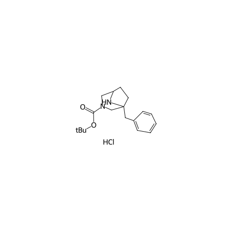 CC(C)(C)OC(=O)N1CC2CCC(Cc3ccccc3)(C1)N2.Cl